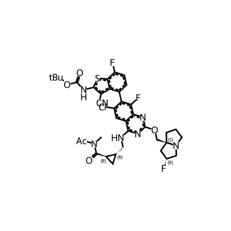 CC(=O)N(C)C(=O)[C@@H]1C[C@H]1CNc1nc(OC[C@@]23CCCN2C[C@H](F)C3)nc2c(F)c(-c3ccc(F)c4sc(NC(=O)OC(C)(C)C)c(C#N)c34)c(Cl)cc12